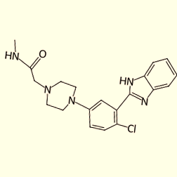 CNC(=O)CN1CCN(c2ccc(Cl)c(-c3nc4ccccc4[nH]3)c2)CC1